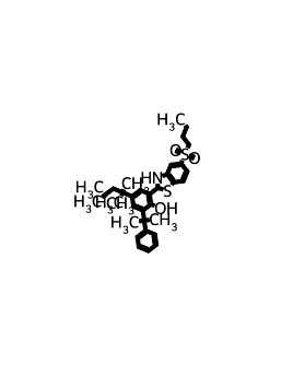 CCCCS(=O)(=O)c1ccc2c(c1)NC(c1cc(C(C)(C)CC(C)(C)C)cc(C(C)(C)c3ccccc3)c1O)S2